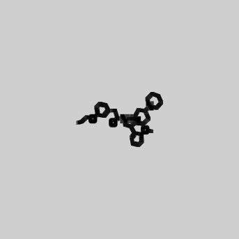 CCCOc1cccc(CC(=O)NCC(c2ccccc2OC)N2CCC(N3CCCCC3)CC2)c1